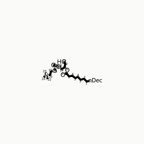 CCCCCCCCCCCCCCCCCC(=O)OC(CO)CO[PH](=O)OCC[N+](C)(C)C